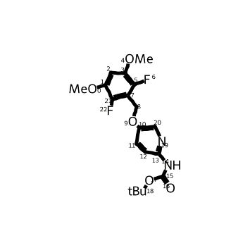 COc1cc(OC)c(F)c(COc2ccc(NC(=O)OC(C)(C)C)nc2)c1F